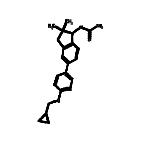 CC1(C)Cc2cc(-c3ccc(OCC4CC4)nc3)ccc2C1OC(N)=O